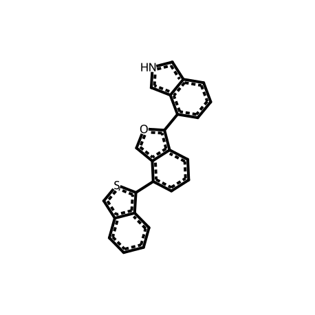 c1cc(-c2occ3c(-c4scc5ccccc45)cccc23)c2c[nH]cc2c1